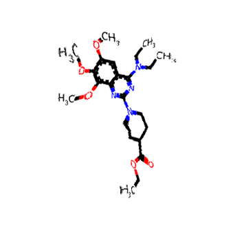 CCOC(=O)C1CCN(c2nc(N(CC)CC)c3cc(OC)c(OC)c(OC)c3n2)CC1